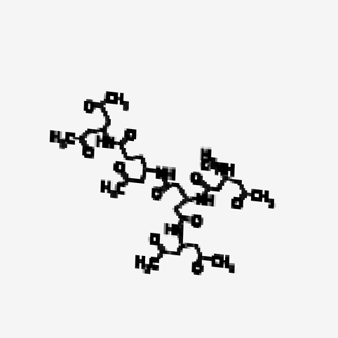 CNC(CC(C)=O)CC(=O)NC(CC(=O)NC(CCC(=O)NC(CC(C)=O)CC(C)=O)CC(C)=O)CC(=O)NC(CC(C)=O)CC(C)=O